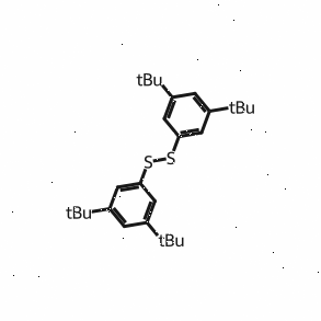 CC(C)(C)c1cc(SSc2cc(C(C)(C)C)cc(C(C)(C)C)c2)cc(C(C)(C)C)c1